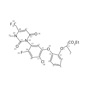 CCOC(=O)C(C)Oc1ccccc1Oc1cc(-n2c(=O)cc(C(F)(F)F)n(C)c2=O)c(F)cc1Cl